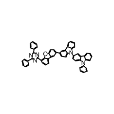 c1ccc(-c2nc(-c3ccccc3)nc(-c3cccc4c3oc3ccc(-c5ccc6c(c5)c5ccccc5n6-c5ccc6c(c5)c5ccccc5n6-c5ccccc5)cc34)n2)cc1